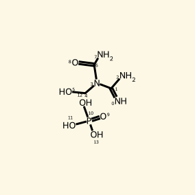 N=C(N)N(CO)C(N)=O.O=P(O)(O)O